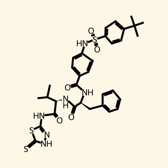 CC(C)[C@H](NC(=O)[C@H](Cc1ccccc1)NC(=O)c1ccc(NS(=O)(=O)c2ccc(C(C)(C)C)cc2)cc1)C(=O)Nc1n[nH]c(=S)s1